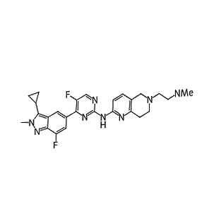 CNCCN1CCc2nc(Nc3ncc(F)c(-c4cc(F)c5nn(C)c(C6CC6)c5c4)n3)ccc2C1